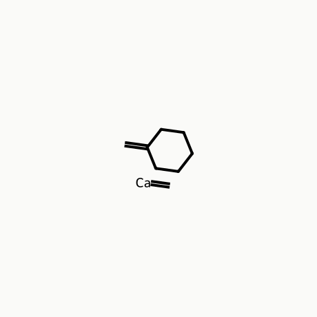 C=C1CCCCC1.[CH2]=[Ca]